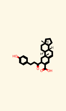 C[C@@]12CCC[C@H]1[C@@H]1CC=C3C=C(C(=O)O)C(C(=O)CCc4ccc(O)cc4)C[C@]3(C)[C@H]1CC2